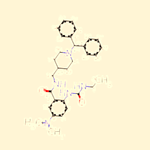 CCNC(=O)Nc1ccc(N(C)C)cc1C(=O)NCC1CCN(C(c2ccccc2)c2ccccc2)CC1